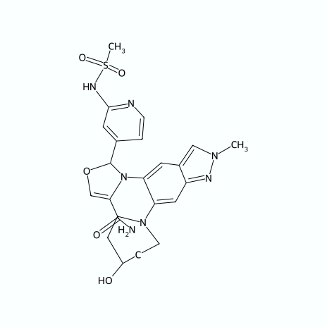 Cn1cc2cc(N3C(C(N)=O)=COC3c3ccnc(NS(C)(=O)=O)c3)c(N3CCC(O)CC3)cc2n1